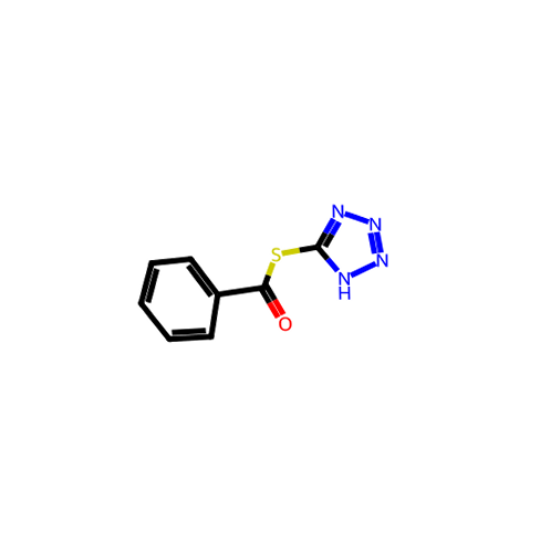 O=C(Sc1nnn[nH]1)c1ccccc1